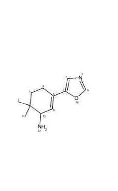 CC1(C)CCC(c2cnco2)=CC1N